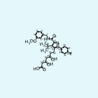 COc1cccc(CNC(=O)c2nn(-c3ccc(F)cc3)c(CC[C@@H](O)C[C@@H](O)CC(=O)O)c2C(C)C)c1